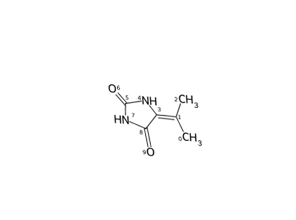 CC(C)=C1NC(=O)NC1=O